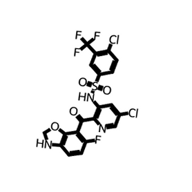 O=C(c1ncc(Cl)cc1NS(=O)(=O)c1ccc(Cl)c(C(F)(F)F)c1)c1c(F)ccc2c1OCN2